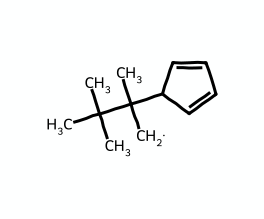 [CH2]C(C)(C1C=CC=C1)C(C)(C)C